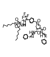 CCCCCCNC(=O)[C@H](CN[C@H](c1ccc(C(=O)N2C[C@@H](C(=O)N[C@H]3C[C@@H]3c3ccccc3)[C@H](C(=O)N[C@H]3C[C@@H]3c3ccccc3)C2)cc1)C(F)(F)F)NC(=O)CCCCCC